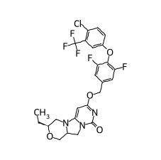 CC[C@H]1CN2c3cc(OCc4cc(F)c(Oc5ccc(Cl)c(C(F)(F)F)c5)c(F)c4)nc(=O)n3CC2CO1